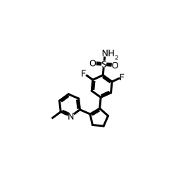 Cc1cccc(C2=C(c3cc(F)c(S(N)(=O)=O)c(F)c3)CCC2)n1